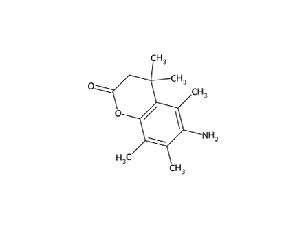 Cc1c(C)c2c(c(C)c1N)C(C)(C)CC(=O)O2